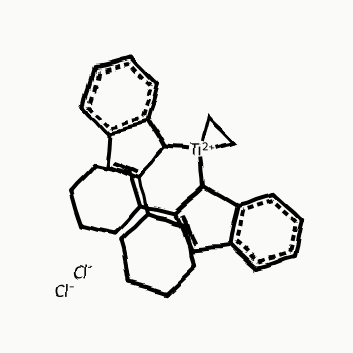 C1=C(C2CCCCC2)[CH]([Ti+2]2([CH]3C(C4CCCCC4)=Cc4ccccc43)[CH2][CH2]2)c2ccccc21.[Cl-].[Cl-]